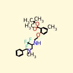 Cc1ccc(OCCNC(CN(C)Cc2ccccc2)C(F)(F)F)c(C(=O)OC(C)(C)C)c1